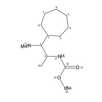 CNC(C1CCCCCC1)C(C)NC(=O)OC(C)(C)C